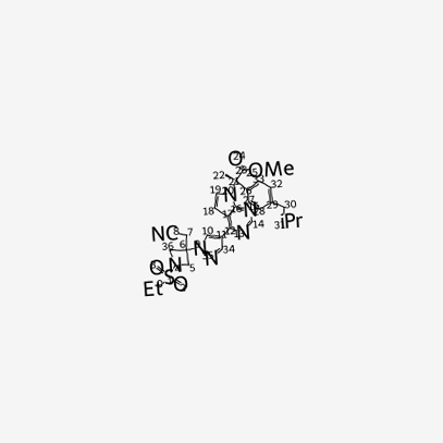 CCS(=O)(=O)N1CC(CC#N)(n2cc(-c3ncnc4c3ccn4[C@](C)(C(=O)OC)c3ccc(CC(C)C)cc3)cn2)C1